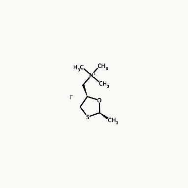 C[C@@H]1O[C@H](C[N+](C)(C)C)CS1.[I-]